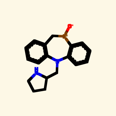 [O-][S+]1Cc2ccccc2N(CC2CCCN2)c2ccccc21